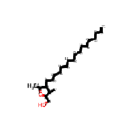 BC1OC(CO)C(C)C1CCCCCCCCCCCCCCCCC